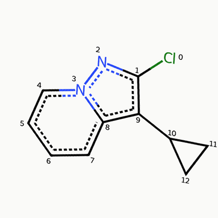 Clc1nn2ccccc2c1C1CC1